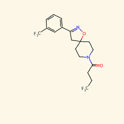 O=C(CCC(F)(F)F)N1CCC2(CC1)CC(c1cccc(C(F)(F)F)c1)=NO2